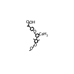 CCOCCOc1cc(C)c(-c2cccc(COc3ccc(C4CC4C(=O)O)cc3)c2)c(C)c1.[CaH2]